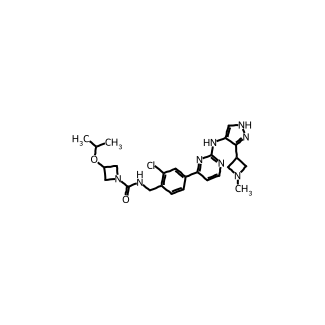 CC(C)OC1CN(C(=O)NCc2ccc(-c3ccnc(Nc4c[nH]nc4C4CN(C)C4)n3)cc2Cl)C1